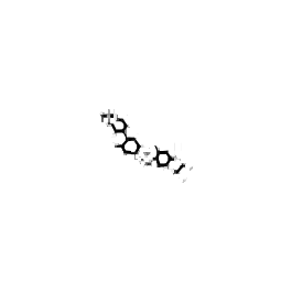 Cc1cc2[nH]c(=O)c(=O)[nH]c2cc1S(=O)(=O)Nc1ccc(-c2ccn3ncnc3c2)c(Cl)c1